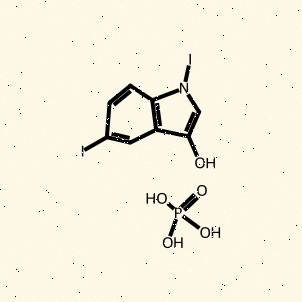 O=P(O)(O)O.Oc1cn(I)c2ccc(I)cc12